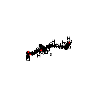 CC1(C)CCC(c2ccc(Cl)cc2)=C(CN2CCN(c3ccc(C(=O)NS(=O)(=O)c4ccc(N[C@H](CCN5CCN(C(=O)CN/C=C(\N)COCCOCCNc6cccc7c6C(=O)N(C6CCC(=O)NC6=O)C7=O)CC5)CSc5ccccc5)c(S(=O)(=O)C(F)(F)F)c4)cc3)CC2)C1